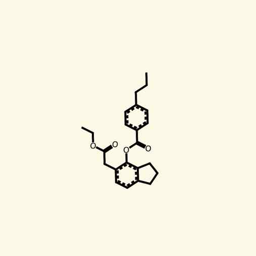 CCCc1ccc(C(=O)Oc2c(CC(=O)OCC)ccc3c2CCC3)cc1